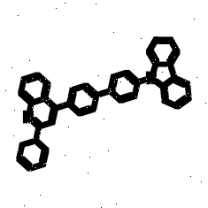 C1=CCC(c2cc(-c3ccc(-c4ccc(-n5c6ccccc6c6ccccc65)cc4)cc3)c3ccccc3n2)C=C1